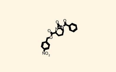 O=C(OCc1ccc([N+](=O)[O-])cc1)C1CCC2CN1C(=O)N2C(=O)c1ccccc1